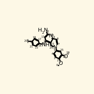 COc1ccc(N2C=Cc3nc(N)cc(Nc4ccc(I)cc4)c3C2)cc1OC